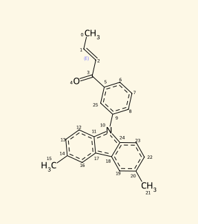 C/C=C/C(=O)c1cccc(-n2c3ccc(C)cc3c3cc(C)ccc32)c1